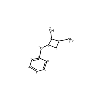 NC1CC(Oc2ccccc2)C1O